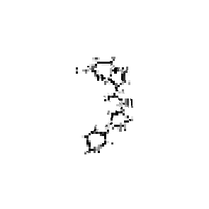 O=C(Nc1cnn(-c2cccnc2)c1)c1cnn2ccc(Cl)nc12